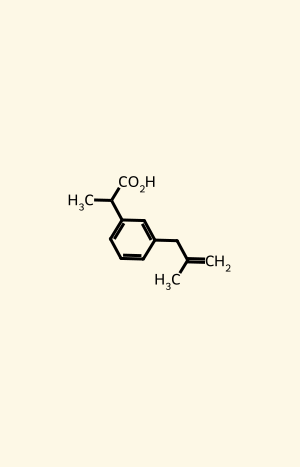 C=C(C)Cc1cccc(C(C)C(=O)O)c1